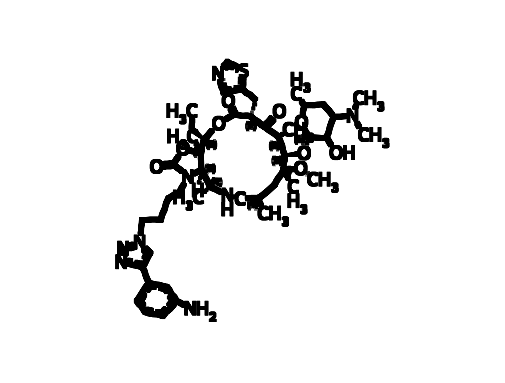 CC[C@H]1OC(=O)[C@H](Cc2cncs2)C(=O)[C@H](C)[C@@H](O[C@@H]2OC(C)CC(N(C)C)C2O)[C@](C)(OC)C[C@@H](C)CN[C@H](C)[C@H]2N(CCCCn3cc(-c4cccc(N)c4)nn3)C(=O)O[C@]12C